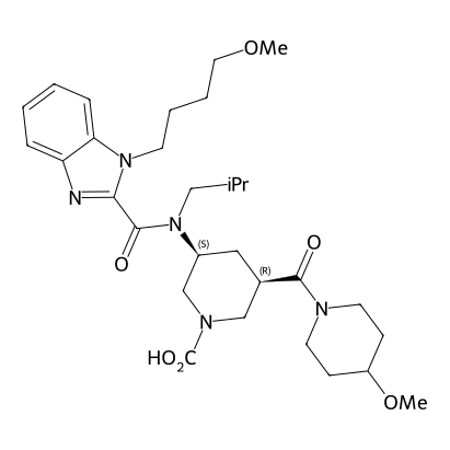 COCCCCn1c(C(=O)N(CC(C)C)[C@H]2C[C@@H](C(=O)N3CCC(OC)CC3)CN(C(=O)O)C2)nc2ccccc21